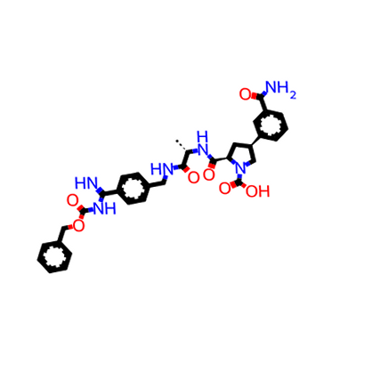 C[C@H](NC(=O)[C@H]1C[C@@H](c2cccc(C(N)=O)c2)CN1C(=O)O)C(=O)NCc1ccc(C(=N)NC(=O)OCc2ccccc2)cc1